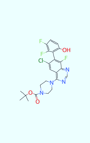 CC(C)(C)OC(=O)N1CCN(c2ncnc3c(F)c(-c4c(O)ccc(F)c4F)c(Cl)cc23)CC1